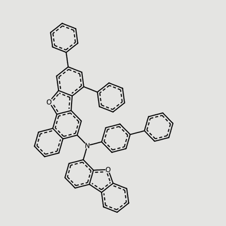 c1ccc(-c2ccc(N(c3cc4c(oc5cc(-c6ccccc6)cc(-c6ccccc6)c54)c4ccccc34)c3cccc4c3oc3ccccc34)cc2)cc1